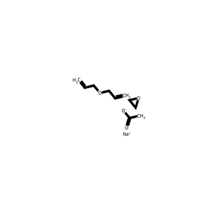 C1CO1.C=CCOCC=C.CC(=O)[O-].[Na+]